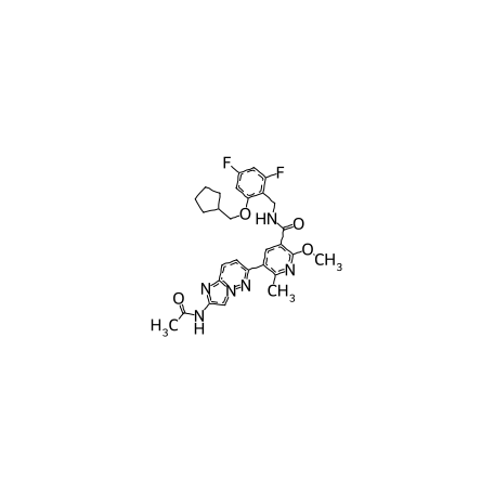 COc1nc(C)c(-c2ccc3nc(NC(C)=O)cn3n2)cc1C(=O)NCc1c(F)cc(F)cc1OCC1CCCC1